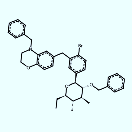 CC[C@H]1O[C@@H](c2ccc(Br)c(Cc3ccc4c(c3)N(Cc3ccccc3)CCO4)c2)[C@H](OCc2ccccc2)[C@@H](C)[C@@H]1C